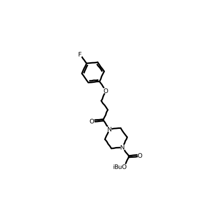 CC(C)COC(=O)N1CCN(C(=O)CCOc2ccc(F)cc2)CC1